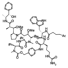 CC[C@H](C)[C@@H]([C@@H](CC(=O)N1CCC[C@H]1[C@H](OC)[C@@H](C)C(=O)N[C@H](C)[C@@H](O)c1ccccc1)OC)N(C)C(=O)[C@@H](NC(=O)[C@H](C(C)C)N(C)C(=O)OCc1ccc(NC(=O)[C@H](CCCNC(N)=O)NC(=O)[C@H](Cc2c[nH]c3ccccc23)NC(=O)CCCC(C)=O)cc1)C(C)C